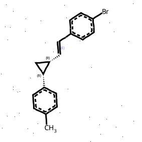 Cc1ccc([C@@H]2C[C@@H]2/C=C/c2ccc(Br)cc2)cc1